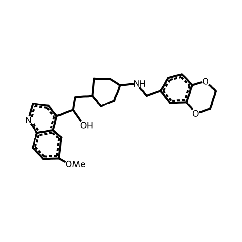 COc1ccc2nccc(C(O)CC3CCC(NCc4ccc5c(c4)OCCO5)CC3)c2c1